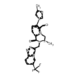 Cc1cn(-c2ccc3n(c2=O)C[C@@H](C)N(Cc2nnc4ccc(C(F)(F)F)cn24)C3=O)cn1